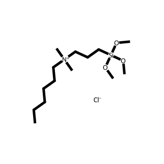 CCCCCC[N+](C)(C)CCC[Si](OC)(OC)OC.[Cl-]